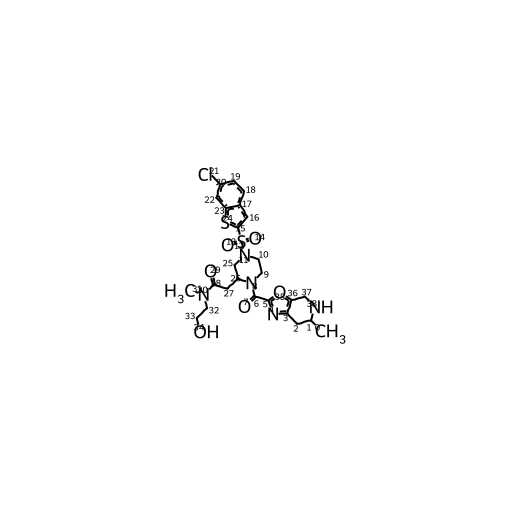 CC1Cc2nc(C(=O)N3CCN(S(=O)(=O)c4cc5ccc(Cl)cc5s4)CC3CC(=O)N(C)CCO)oc2CN1